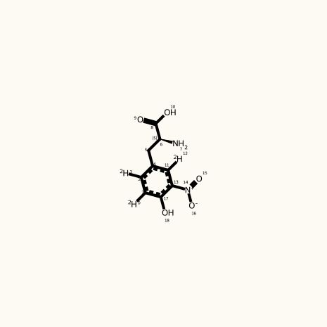 [2H]c1c([2H])c(C[C@H](N)C(=O)O)c([2H])c([N+](=O)[O-])c1O